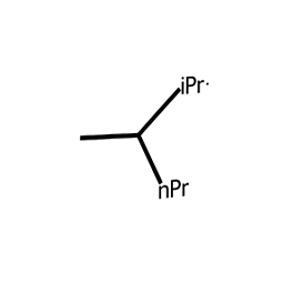 C[CH]CC(C)[C](C)C